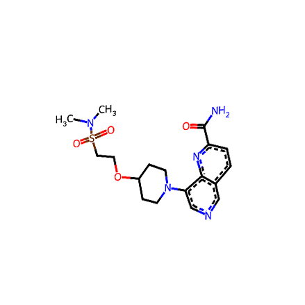 CN(C)S(=O)(=O)CCOC1CCN(c2cncc3ccc(C(N)=O)nc23)CC1